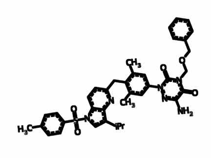 Cc1ccc(S(=O)(=O)n2cc(C(C)C)c3nc(Cc4c(C)cc(-n5nc(N)c(=O)n(COCc6ccccc6)c5=O)cc4C)ccc32)cc1